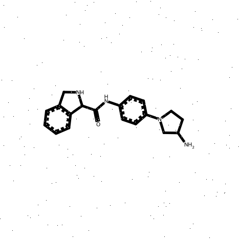 NC1CCN(c2ccc(NC(=O)C3NCc4ccccc43)cc2)C1